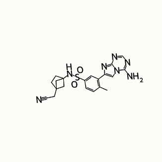 Cc1ccc(S(=O)(=O)NC23CCC(CC#N)(C2)C3)cc1-c1cn2c(N)ncnc2n1